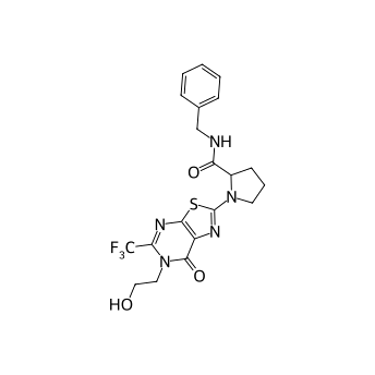 O=C(NCc1ccccc1)C1CCCN1c1nc2c(=O)n(CCO)c(C(F)(F)F)nc2s1